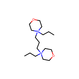 CCC[N+]1(CCC[N+]2(CCC)CCOCC2)CCOCC1